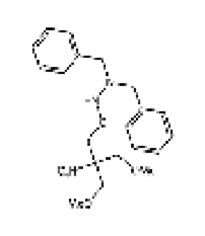 COCC(COC)(CONN(Cc1ccccc1)Cc1ccccc1)[N+](=O)[O-]